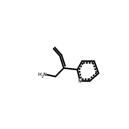 C=C=C(CN)c1ccccn1